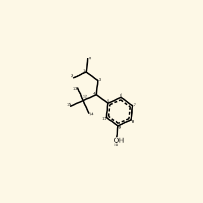 CC(C)CC(c1cccc(O)c1)C(C)(C)C